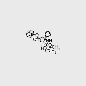 CC(C)(C)OC(=O)NC1(c2ccccc2)CCN(C(=O)OC2C3CC4CC(C3)CC2C4)C1